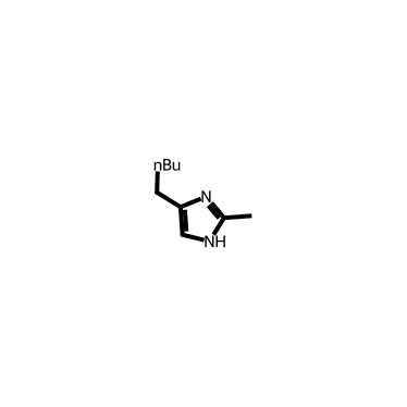 CCCCCc1c[nH]c(C)n1